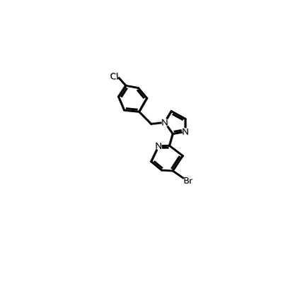 Clc1ccc(Cn2ccnc2-c2cc(Br)ccn2)cc1